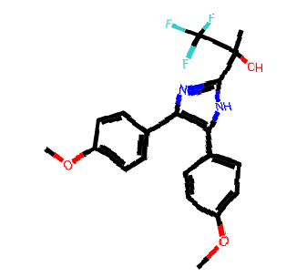 COc1ccc(-c2nc(C(C)(O)C(F)(F)F)[nH]c2-c2ccc(OC)cc2)cc1